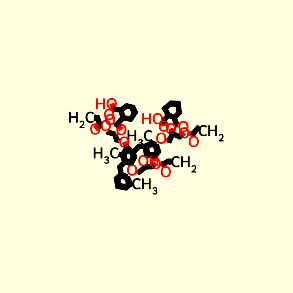 C=CC(=O)OCC(O)COc1c(C)cccc1Cc1ccc(Cc2cccc(OCC(COC(=O)C=C)OC(=O)C3CC=CCC3C(=O)O)c2C)c(OCC(COC(=O)C=C)OC(=O)C2CC=CCC2C(=O)O)c1C